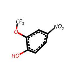 O=[N+]([O-])c1ccc(O)c(OC(F)(F)F)c1